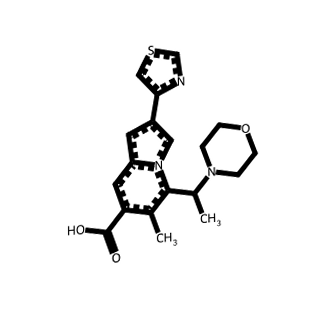 Cc1c(C(=O)O)cc2cc(-c3cscn3)cn2c1C(C)N1CCOCC1